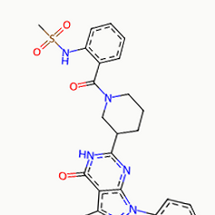 Cc1nn(-c2ccccc2)c2nc(C3CCCN(C(=O)c4ccccc4NS(C)(=O)=O)C3)[nH]c(=O)c12